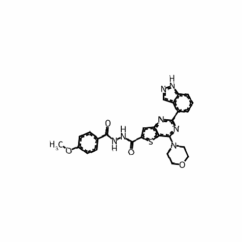 COc1ccc(C(=O)NNC(=O)c2cc3nc(-c4cccc5[nH]ncc45)nc(N4CCOCC4)c3s2)cc1